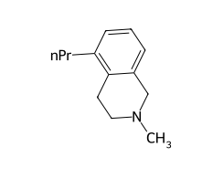 CCCc1cccc2c1CCN(C)C2